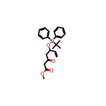 C=CC(CC(=O)CC(=O)OC)O[Si](c1ccccc1)(c1ccccc1)C(C)(C)C